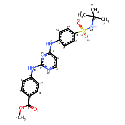 COC(=O)c1ccc(Nc2nccc(Nc3ccc(S(=O)(=O)NC(C)(C)C)cc3)n2)cc1